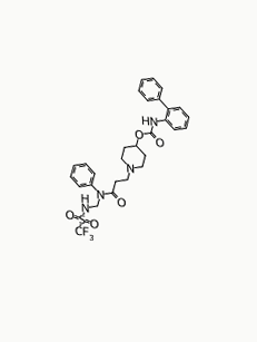 O=C(Nc1ccccc1-c1ccccc1)OC1CCN(CCC(=O)N(CNS(=O)(=O)C(F)(F)F)c2ccccc2)CC1